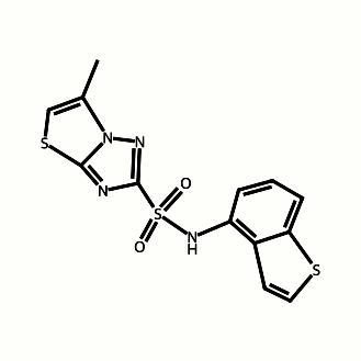 Cc1csc2nc(S(=O)(=O)Nc3cccc4sccc34)nn12